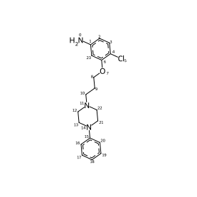 Nc1ccc(Cl)c(OCCCN2CCN(c3ccccc3)CC2)c1